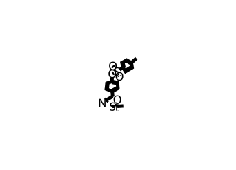 Cc1ccc(S(=O)(=O)Oc2ccc(C(C#N)O[Si](C)(C)C)cc2)cc1